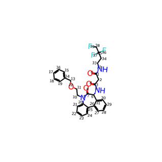 O=C(CC(=O)N[C@@H]1C(=O)N(CCOCc2ccccc2)c2ccccc2-c2ccccc21)NCCC(F)(F)CF